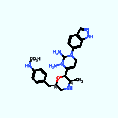 C[C@H]1NC[C@H](Cc2ccc(NC(=O)O)cc2)OC1C1=CCN(c2ccc3cn[nH]c3c2)C(N)N1N